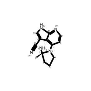 C[C@]1(N)CCCN1c1ccnc2[nH]cc(C#N)c12